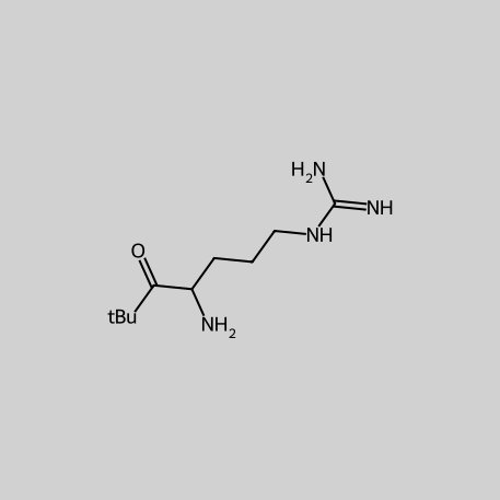 CC(C)(C)C(=O)C(N)CCCNC(=N)N